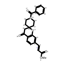 COC(=O)/C=C/c1ccc2c(c1)OC1(CCN(C(=O)c3ccccc3)CC1)CC2=O